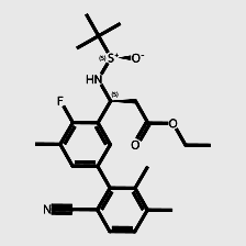 CCOC(=O)C[C@H](N[S@+]([O-])C(C)(C)C)c1cc(-c2c(C#N)ccc(C)c2C)cc(C)c1F